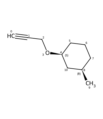 C#CCO[C@H]1CCC[C@@H](C)C1